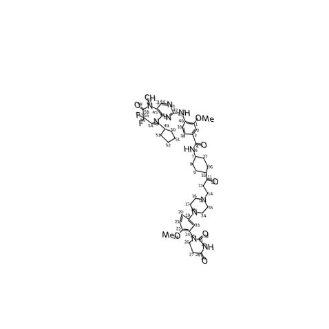 COc1cc(C(=O)NC2CCC(C(=O)CCN3CCN(c4ccc(OC)c(N5CCC(=O)NC5=O)c4)CC3)CC2)ccc1Nc1ncc2c(n1)N(C1CCCC1)CC(F)(F)C(=O)N2C